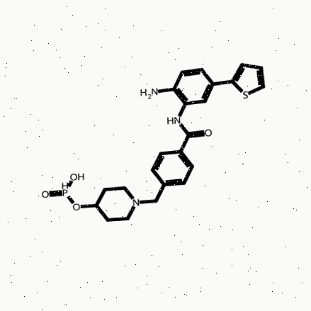 Nc1ccc(-c2cccs2)cc1NC(=O)c1ccc(CN2CCC(O[PH](=O)O)CC2)cc1